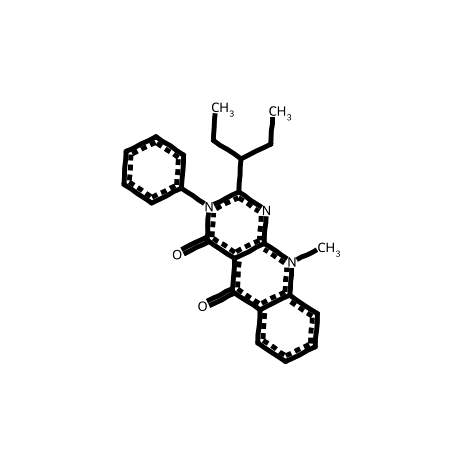 CCC(CC)c1nc2c(c(=O)c3ccccc3n2C)c(=O)n1-c1ccccc1